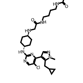 Cn1ncc(-c2nc(N[C@H]3CC[C@H](NCC(=O)NCCCCNC(=O)O)CC3)ncc2Cl)c1CC1CC1